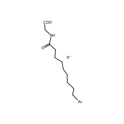 CC(=O)CCCCCCCCC(=O)NCC(=O)[O-].[K+]